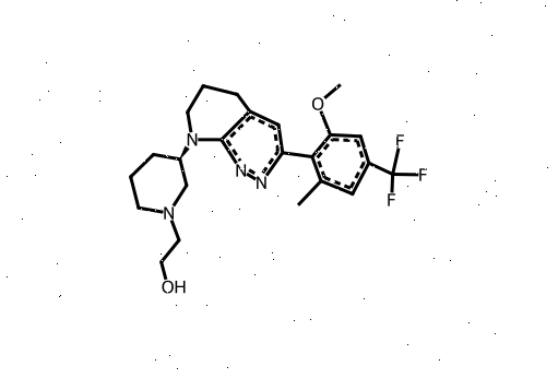 COc1cc(C(F)(F)F)cc(C)c1-c1cc2c(nn1)N([C@@H]1CCCN(CCO)C1)CCC2